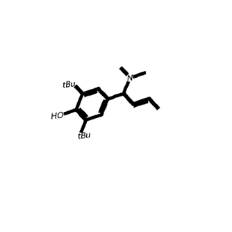 CC=CC(c1cc(C(C)(C)C)c(O)c(C(C)(C)C)c1)N(C)C